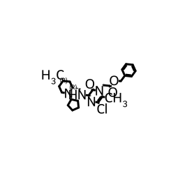 Cc1c(Cl)nc(NC[C@H]2C[C@H](C)CCN2C2CCCC2)c(=O)n1CC(=O)OCc1ccccc1